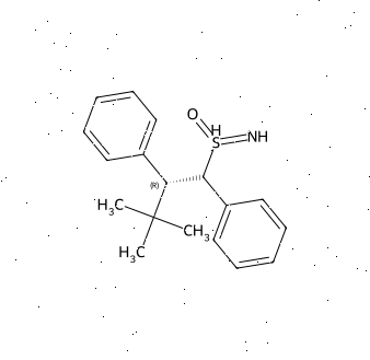 CC(C)(C)[C@H](c1ccccc1)C(c1ccccc1)[SH](=N)=O